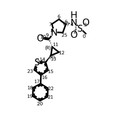 CS(=O)(=O)N[C@H]1CCN(C(=O)[C@@H]2C[C@H]2c2cc(-c3ccccc3)cs2)C1